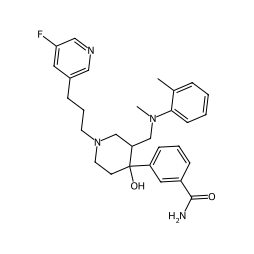 Cc1ccccc1N(C)CC1CN(CCCc2cncc(F)c2)CCC1(O)c1cccc(C(N)=O)c1